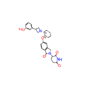 O=C1CCC(N2Cc3cc(O[C@@H]4CCCC[C@H]4N4CC(c5cccc(O)c5)C4)ccc3C2=O)C(=O)N1